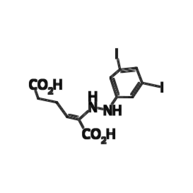 O=C(O)CC/C=C(\NNc1cc(I)cc(I)c1)C(=O)O